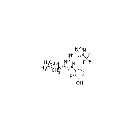 CC(C)(C)ONc1nc(Nc2cc(C(F)(F)F)ncn2)nc(C2=C(F)C(O)CCC2)n1